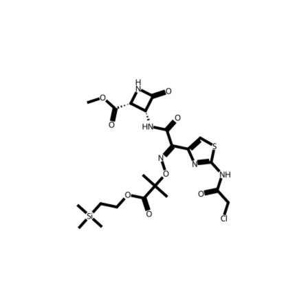 COC(=O)[C@@H]1NC(=O)[C@@H]1NC(=O)/C(=N/OC(C)(C)C(=O)OCC[Si](C)(C)C)c1csc(NC(=O)CCl)n1